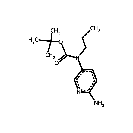 CCCN(C(=O)OC(C)(C)C)c1ccc(N)nc1